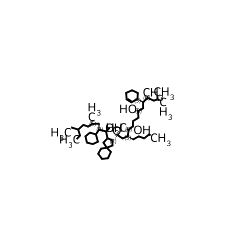 CCCCC[C@@H](CC(=O)[C@@H]1CC2(CCCCC2)CC1C(O)[C@H](C[C@@H](C)CCC(CC)CC)C1CCCCC1)[C@@H](C)C(O)CC[C@@H](O)CC([C@H](C)CC(C)C)[C@H]1C=CCCC1